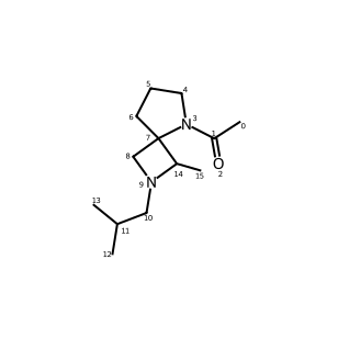 CC(=O)N1CCCC12CN(CC(C)C)C2C